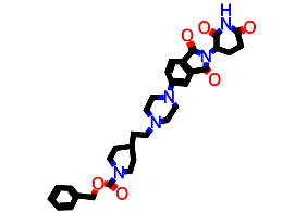 O=C1CCC(N2C(=O)c3ccc(N4CCN(CCC5CCN(C(=O)OCc6ccccc6)CC5)CC4)cc3C2=O)C(=O)N1